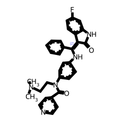 CN(C)CCN(C(=O)c1ccncc1)c1ccc(N/C(=C2\C(=O)Nc3cc(F)ccc32)c2ccccc2)cc1